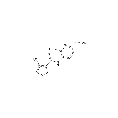 Cc1nc(CO)ccc1NC(=O)c1ccnn1C